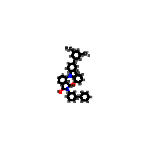 O=C1c2cccc(-n3c4ccccc4c4cc(-c5cc(C(F)(F)F)cc(C(F)(F)F)c5)ccc43)c2C(=O)N1c1cccc(-c2ccccc2)c1